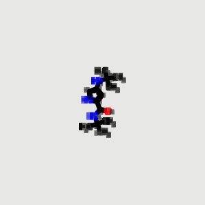 CC(C)(C)NC(=O)c1cc(NC(C)(C)C)c[nH]1